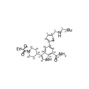 CCC(C)CNCc1ccc(-c2cc(C(N)=O)c3[nH]cc(C4CCN(S(=O)(=O)CC)CC4)c3c2)s1